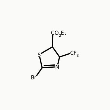 CCOC(=O)C1SC(Br)=NC1C(F)(F)F